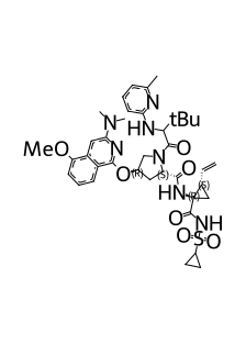 C=C[C@@H]1C[C@]1(NC(=O)[C@@H]1C[C@@H](Oc2nc(N(C)C)cc3c(OC)cccc23)CN1C(=O)C(Nc1cccc(C)n1)C(C)(C)C)C(=O)NS(=O)(=O)C1CC1